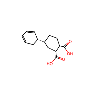 O=C(O)[C@H]1CC([C@H]2C=CC=CC2)CC[C@H]1C(=O)O